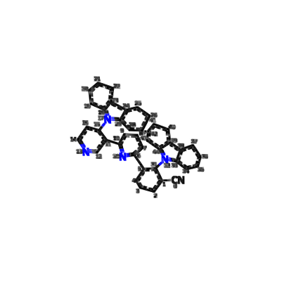 N#Cc1cccc(-c2cccc(-c3cnccc3-n3c4ccccc4c4ccccc43)n2)c1-n1c2ccccc2c2ccccc21